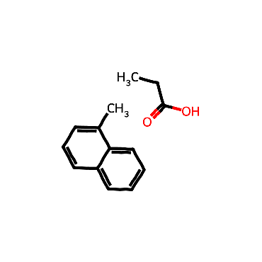 CCC(=O)O.Cc1cccc2ccccc12